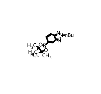 CCCCn1nc2ccc(B3OC(C)(C)C(C)(C)O3)cc2n1